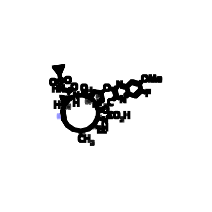 CC[C@@H]1C[C@H](C)CC/C=C\[C@@H]2C[C@@]2(C(=O)NS(=O)(=O)C2CC2)NC(=O)[C@@H]2C[C@@H](Oc3nc4cc(OC)c(F)cc4nc3C(F)(F)F)CN2C(=O)[C@H]1NC(=O)O